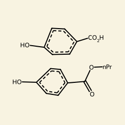 CCCOC(=O)c1ccc(O)cc1.O=C(O)c1ccc(O)cc1